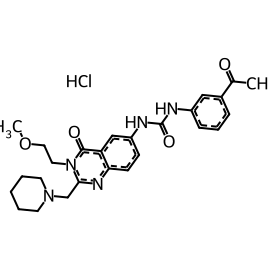 COCCn1c(CN2CCCCC2)nc2ccc(NC(=O)Nc3cccc(C(C)=O)c3)cc2c1=O.Cl